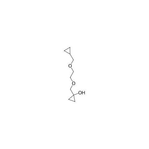 OC1(COCCOCC2CC2)CC1